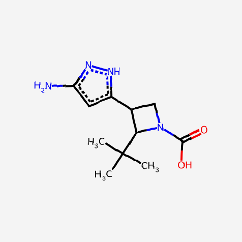 CC(C)(C)C1C(c2cc(N)n[nH]2)CN1C(=O)O